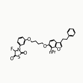 CCCc1c(OCCCCOc2cccc(N3C(=O)SC(=O)C3F)c2)ccc2c(CCc3ccccc3)coc12